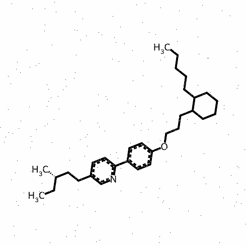 CCCCCC1CCCCC1CCCOc1ccc(-c2ccc(CC[C@@H](C)CC)cn2)cc1